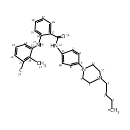 CCCCN1CCN(c2ccc(NC(=O)c3ccccc3Nc3cccc(Cl)c3C)cc2)CC1